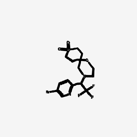 O=S1(=O)CCC2(CC1)CN(C(c1ccc(Br)cn1)C(F)(F)F)CCO2